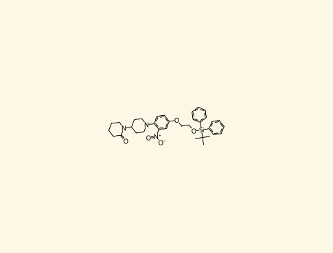 CC(C)(C)[Si](OCCOc1ccc(N2CCC(N3CCCCC3=O)CC2)c([N+](=O)[O-])c1)(c1ccccc1)c1ccccc1